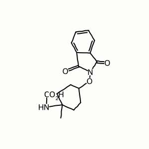 CC1(NC(=O)O)CCC(ON2C(=O)c3ccccc3C2=O)CC1